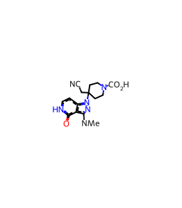 CNc1nn(C2(CC#N)CCN(C(=O)O)CC2)c2cc[nH]c(=O)c12